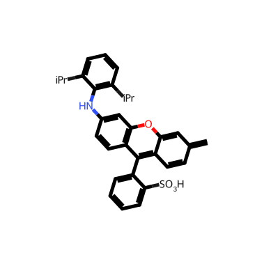 C=c1ccc2c(c1)Oc1cc(Nc3c(C(C)C)cccc3C(C)C)ccc1C=2c1ccccc1S(=O)(=O)O